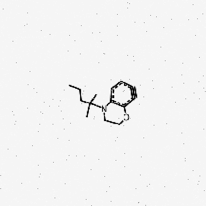 CCCC(C)(C)N1CCOc2c#cccc21